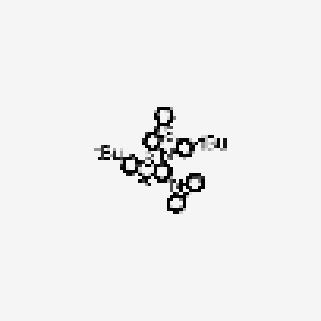 CC(C)(C)c1ccc(N2c3cc(-n4c5ccccc5c5ccccc54)cc4c3B(c3cc(C(C)(C)C)ccc3C4(C)C)c3ccc4c(sc5ccccc54)c32)cc1